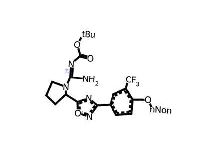 CCCCCCCCCOc1ccc(-c2noc(C3CCCN3/C(N)=N/C(=O)OC(C)(C)C)n2)cc1C(F)(F)F